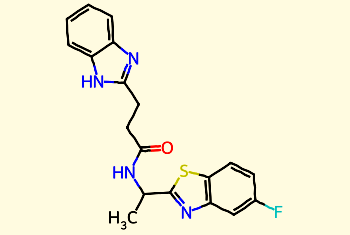 CC(NC(=O)CCc1nc2ccccc2[nH]1)c1nc2cc(F)ccc2s1